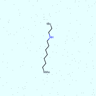 CNCCCCCCCNCCC(C)(C)C